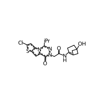 CC(C)c1nn(CC(=O)NC2=C3CC(O)(CC2)C3)c(=O)c2cc3sc(Cl)cc3n12